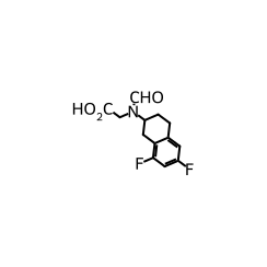 O=CN(CC(=O)O)C1CCc2cc(F)cc(F)c2C1